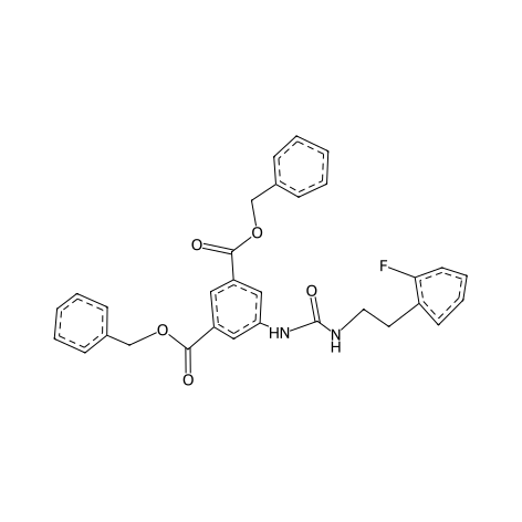 O=C(NCCc1ccccc1F)Nc1cc(C(=O)OCc2ccccc2)cc(C(=O)OCc2ccccc2)c1